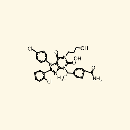 C[C@@H](c1ccc(C(N)=O)cc1)n1c(=O)n(C[C@@H](O)CO)c(=O)c2c1nc(-c1ccccc1Cl)n2-c1ccc(Cl)cc1